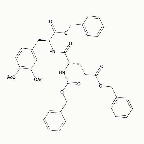 CC(=O)Oc1ccc(C[C@H](NC(=O)[C@H](CCC(=O)OCc2ccccc2)NC(=O)OCc2ccccc2)C(=O)OCc2ccccc2)cc1OC(C)=O